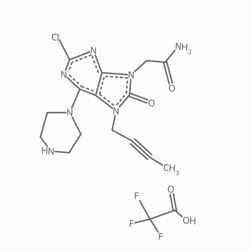 CC#CCn1c(=O)n(CC(N)=O)c2nc(Cl)nc(N3CCNCC3)c21.O=C(O)C(F)(F)F